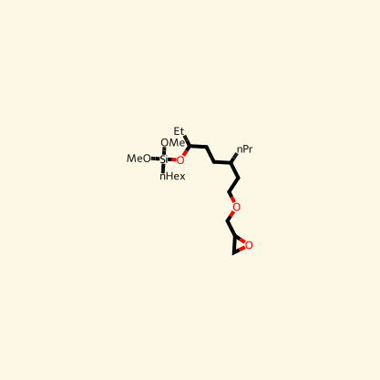 CCCCCC[Si](OC)(OC)OC(CC)CCC(CCC)CCOCC1CO1